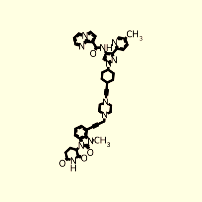 Cc1ccc(-c2nn(C3CCC(C#CN4CCN(CC#Cc5cccc6c5n(C)c(=O)n6C5CCC(=O)NC5=O)CC4)CC3)cc2NC(=O)c2ccn3cccnc23)nc1